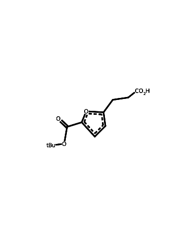 CC(C)(C)OC(=O)c1ccc(CCC(=O)O)o1